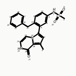 Cc1cc(-c2cc(NS(C)(=O)=O)ccc2Cc2ccccc2)n2cc[nH]c(=O)c12